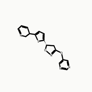 C1=CC(c2ccc([C@@H]3CC(Oc4cncnc4)=NO3)s2)CN=C1